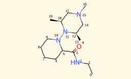 CCNC(=O)C1CCCCN1N1[C@H](C)CN(C)C[C@@H]1C